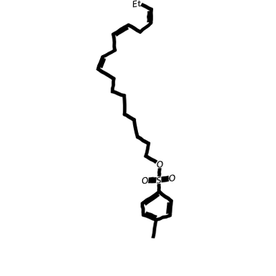 CC/C=C\C/C=C\C/C=C\CCCCCCCCOS(=O)(=O)c1ccc(C)cc1